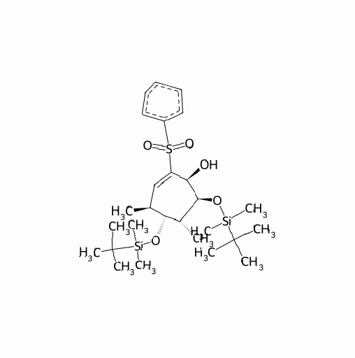 C[C@H]1[C@H](O[Si](C)(C)C(C)(C)C)[C@H](O)C(S(=O)(=O)c2ccccc2)=C[C@H](C)[C@H]1O[Si](C)(C)C(C)(C)C